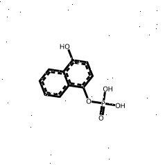 O=P(O)(O)Oc1ccc(O)c2ccccc12